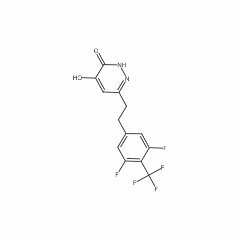 O=c1[nH]nc(CCc2cc(F)c(C(F)(F)F)c(F)c2)cc1O